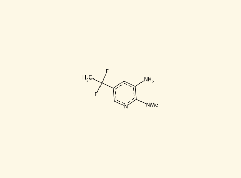 CNc1ncc(C(C)(F)F)cc1N